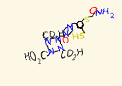 NC(=O)CCSCc1cc(CS)cc(CN2CCN(C(=O)CN3CCN(CC(=O)O)CCN(CC(=O)O)CCN(CC(=O)O)CC3)CC2)c1